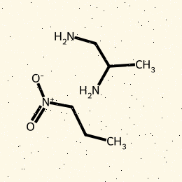 CC(N)CN.CCC[N+](=O)[O-]